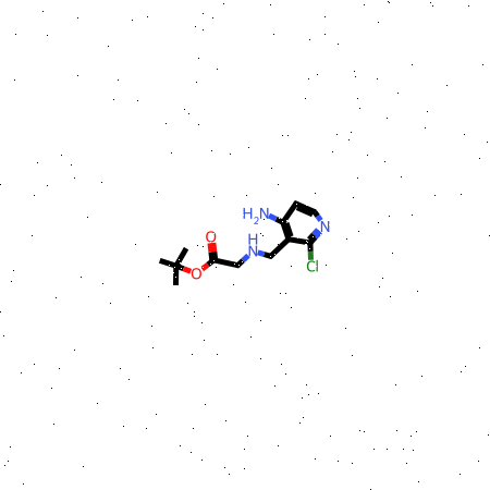 CC(C)(C)OC(=O)CNCc1c(N)ccnc1Cl